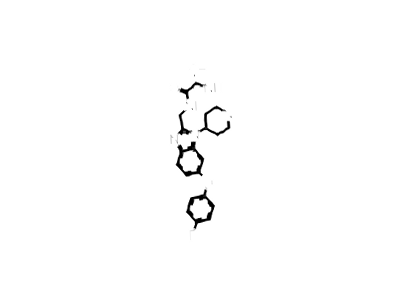 C[C@H](N)C(=O)NCc1nc2ccc(Oc3ccc(F)cc3)cc2n1C1CCNCC1